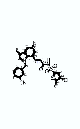 Cc1cn(Cc2cccc(C#N)c2)c2c(/C=C/C(=O)NS(=O)(=O)c3cc(Cl)c(Cl)s3)cc(F)cc12